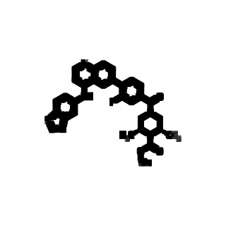 C[C@@H]1CN(C(=O)c2ccc(-c3ccc4nccc(Nc5ccc6scnc6c5)c4c3)c(F)c2)C[C@H](C)N1C(=O)OC(C)(C)C